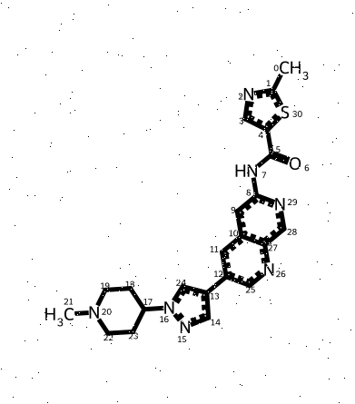 Cc1ncc(C(=O)Nc2cc3cc(-c4cnn(C5CCN(C)CC5)c4)cnc3cn2)s1